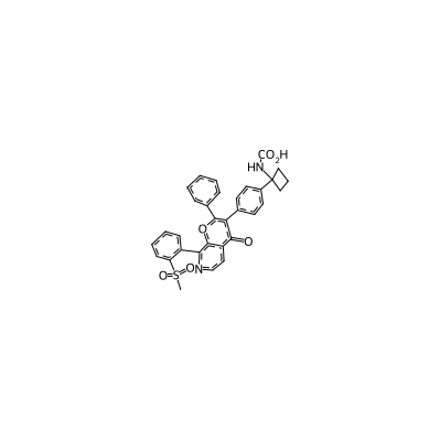 CS(=O)(=O)c1ccccc1-c1nccc2c(=O)c(-c3ccc(C4(NC(=O)O)CCC4)cc3)c(-c3ccccc3)oc12